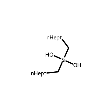 CCCCCCCC[Si](O)(O)CCCCCCCC